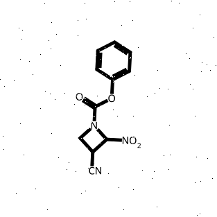 N#CC1CN(C(=O)Oc2ccccc2)C1[N+](=O)[O-]